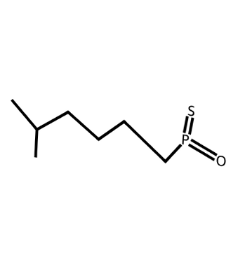 CC(C)CCCCP(=O)=S